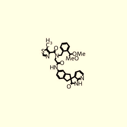 COC(OC)c1ccccc1CN(CC(=O)Nc1ccc2c(c1)CC1(C2)C(=O)Nc2ncccc21)C(=O)c1ncsc1C